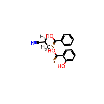 CC(C)C#N.OC(=S)c1ccccc1.OC(=S)c1ccccc1O